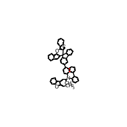 C=C(/C=c1\c(=C/C)oc2ccccc12)N(c1ccc(-c2ccc3c(c2)-c2ccccc2C32c3ccc4ccccc4c3Oc3c2ccc2ccccc32)cc1)c1ccccc1-c1ccccc1